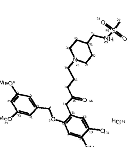 COc1cc(COc2cc(N)c(Cl)cc2CC(=O)CCCN2CCC(CNS(C)(=O)=O)CC2)cc(OC)c1.Cl